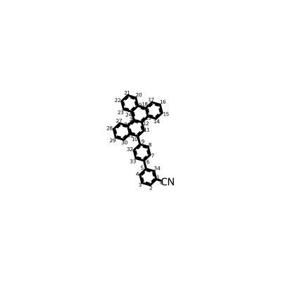 N#Cc1cccc(-c2ccc(-c3cc4c5ccccc5c5ccccc5c4c4ccccc34)cc2)c1